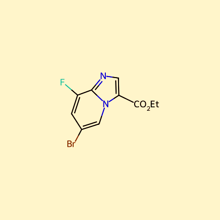 CCOC(=O)c1cnc2c(F)cc(Br)cn12